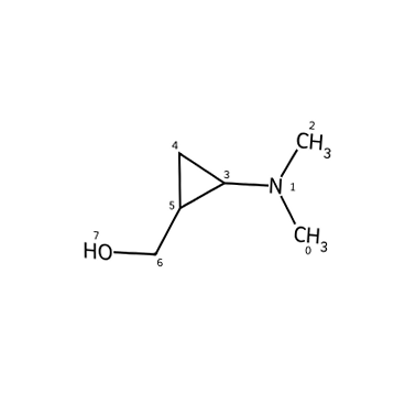 CN(C)C1CC1CO